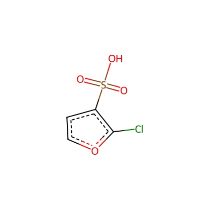 O=S(=O)(O)c1ccoc1Cl